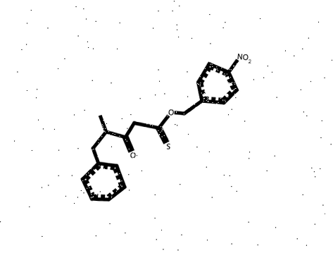 CC(Cc1ccccc1)C(=O)CC(=S)OCc1ccc([N+](=O)[O-])cc1